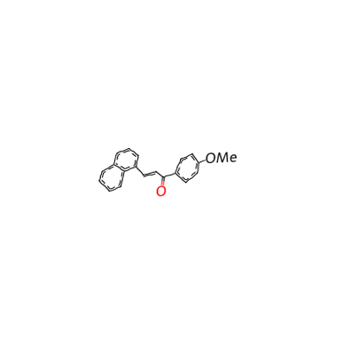 COc1ccc(C(=O)C=Cc2cccc3ccccc23)cc1